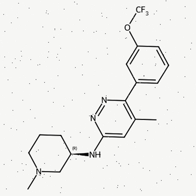 Cc1cc(N[C@@H]2CCCN(C)C2)nnc1-c1cccc(OC(F)(F)F)c1